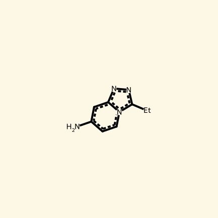 CCc1nnc2cc(N)ccn12